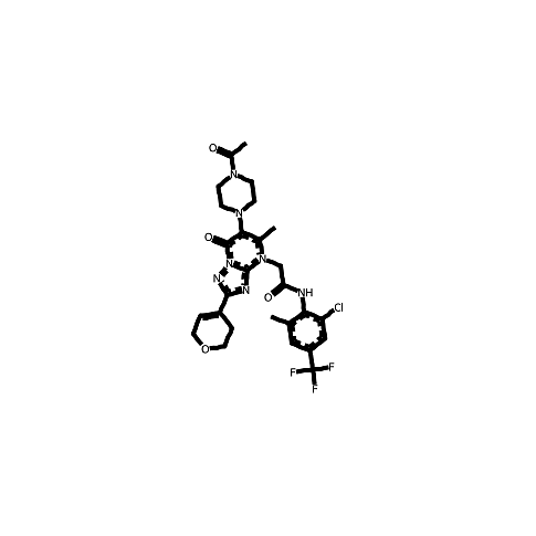 CC(=O)N1CCN(c2c(C)n(CC(=O)Nc3c(C)cc(C(F)(F)F)cc3Cl)c3nc(C4=CCOCC4)nn3c2=O)CC1